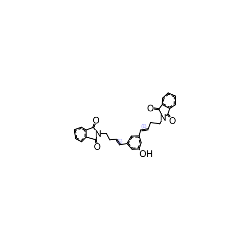 O=C1c2ccccc2C(=O)N1CC/C=C/c1cc(O)cc(/C=C/CCN2C(=O)c3ccccc3C2=O)c1